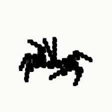 CCCCCCCCCCC1(CCCCCCCCCC)c2cc(-c3ccc([Si](c4ccc(-c5ccc(CCCCCC)s5)s4)(c4ccc(-c5ccc(CCCCCC)s5)s4)c4ccc(-c5ccc(CCCCCC)s5)s4)s3)ccc2-c2ccc(-c3ccc([Si](c4ccc(-c5ccc(CCCCCC)s5)s4)(c4ccc(-c5ccc(CCCCCC)s5)s4)c4ccc(-c5ccc(CCCCCC)s5)s4)s3)cc21